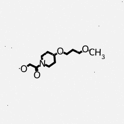 COCCCOC1CCN(C(=O)C[O])CC1